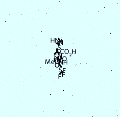 CO[C@@]1(NC(=O)CSC(F)(F)CF)C(=O)N2C(C(=O)O)=C(CSc3c[nH]nn3)CS[C@H]21